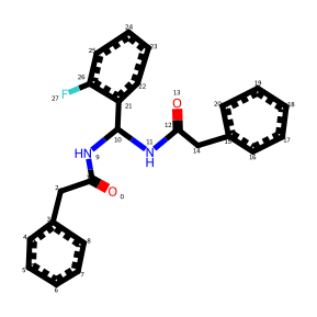 O=C(Cc1ccccc1)NC(NC(=O)Cc1ccccc1)c1ccccc1F